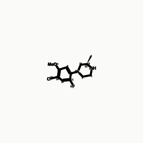 COc1cc(N2CCN[C@@H](C)C2)c(F)cc1Cl